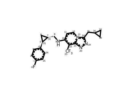 Fc1ccc([C@H]2C[C@@H]2CNc2ccn3c(CC4CC4)nnc3c2C(F)(F)F)cc1